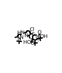 Cc1cc(Nc2cc(Cl)c(F)c(C[C@]3(C(=O)O)CCN(C(=O)O)[C@@](C)(C(C)(C)C)C3C(C)(C)C)n2)nn1C(C)(C)C